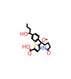 CCCC(O)c1ccc([C@](OC)(c2ccc(C(=O)O)s2)C2CCC(=O)N2)cc1